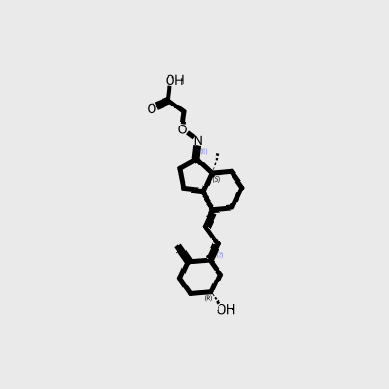 C=C1CC[C@@H](O)C/C1=C/C=C1CCC[C@]2(C)/C(=N/OCC(=O)O)CCC12